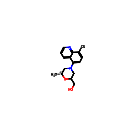 C[C@@H]1CN(c2ccc(C#N)c3ncccc23)CC(CO)O1